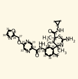 C[C@@H]1[C@@](C)(C(=O)NC2CC2)SC(N)=N[C@]1(C)c1cc(NC(=O)c2cnc(OCc3ncco3)cn2)ccc1F